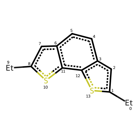 CCc1cc2ccc3cc(CC)sc3c2s1